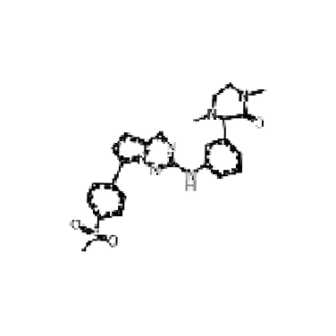 CN1CCN(C)C(c2cccc(Nc3ncc4ccc(-c5ccc(S(C)(=O)=O)cc5)n4n3)c2)C1=O